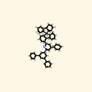 c1ccc(-c2cc(-c3ccccc3)cc(-c3cc(-c4ccccc4)cc(-c4cccc5c4-c4ccccc4C54c5ccccc5-c5ccccc54)n3)c2)cc1